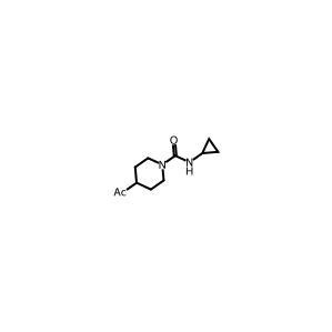 CC(=O)C1CCN(C(=O)NC2CC2)CC1